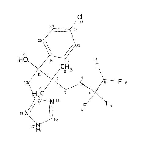 CC(C)(CSC(F)(F)C(F)F)C(O)(Cc1nc[nH]n1)c1ccc(Cl)cc1